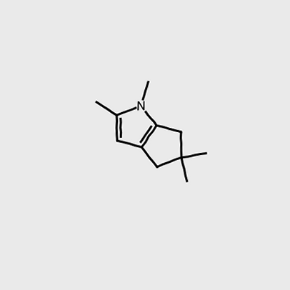 Cc1cc2c(n1C)CC(C)(C)C2